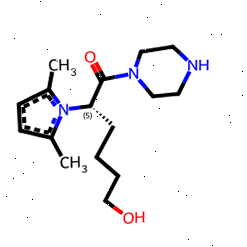 Cc1ccc(C)n1[C@@H](CCCCO)C(=O)N1CCNCC1